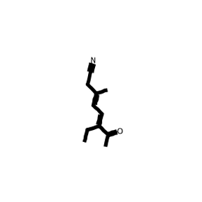 CC/C(=C\C=C(/C)CC#N)C(C)=O